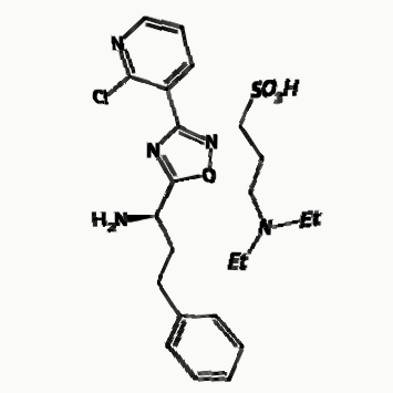 CCN(CC)CCCS(=O)(=O)O.N[C@H](CCc1ccccc1)c1nc(-c2cccnc2Cl)no1